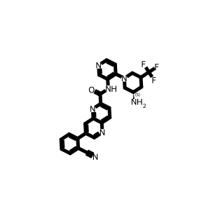 N#Cc1ccccc1-c1cnc2ccc(C(=O)Nc3cnccc3N3CC(C(F)(F)F)C[C@H](N)C3)nc2c1